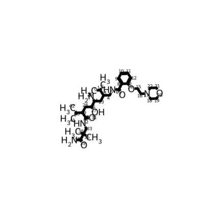 CC(C)C(CNC(=O)c1ccccc1OCCN1CCOCC1)CC(N)C(O)CC(C(=O)NCC(C)(C)C(N)=O)C(C)C